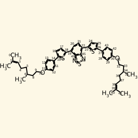 CC(C)=CCC[C@H](C)CCOc1ccc(-c2ccc(-c3ccc(-c4ccc(-c5ccc(OCC[C@@H](C)CCC=C(C)C)cc5)s4)c4nsnc34)s2)cc1